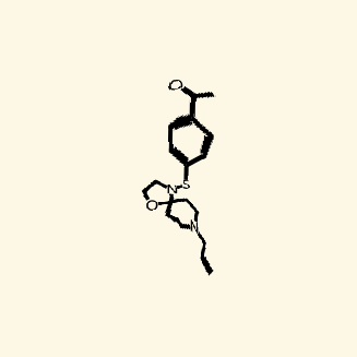 C=CCN1CCC2(CC1)OCCN2Sc1ccc(C(C)=O)cc1